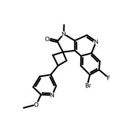 COc1ccc(C2CC3(C2)C(=O)N(C)c2cnc4cc(F)c(Br)cc4c23)cn1